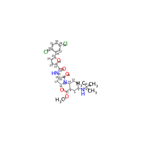 COC(=O)C1CC(NC(C)(C)C)CCC1N1CC[C@H](NC(=O)c2ccc(-c3cc(Cl)ccc3Cl)o2)C1=O